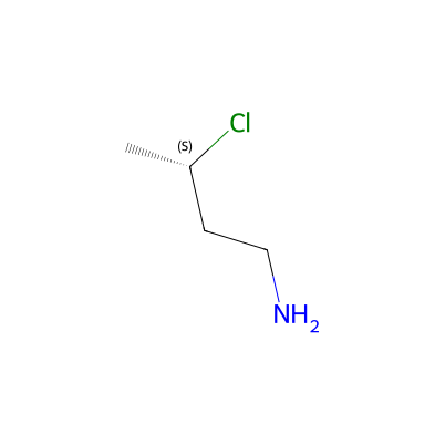 C[C@H](Cl)CCN